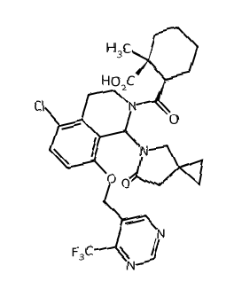 C[C@]1(C(=O)O)CCCC[C@H]1C(=O)N1CCc2c(Cl)ccc(OCc3cncnc3C(F)(F)F)c2C1N1CC2(CC2)CC1=O